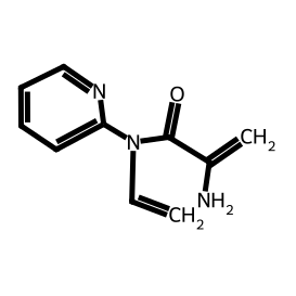 C=CN(C(=O)C(=C)N)c1ccccn1